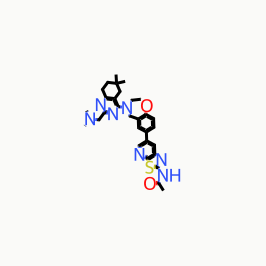 CC(=O)Nc1nc2cc(-c3ccc4c(c3)CN(c3nc(CN(C)C)nc5c3CC(C)(C)CC5)CCO4)cnc2s1